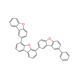 c1ccc(-c2ccc3oc4ccc(-c5cccc6c5oc5c(-c7ccc8oc9ccccc9c8c7)cccc56)cc4c3c2)cc1